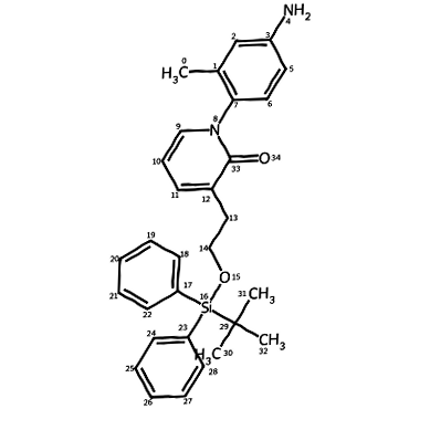 Cc1cc(N)ccc1-n1cccc(CCO[Si](c2ccccc2)(c2ccccc2)C(C)(C)C)c1=O